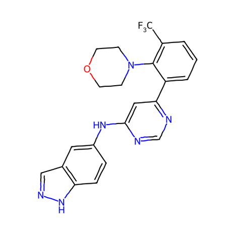 FC(F)(F)c1cccc(-c2cc(Nc3ccc4[nH]ncc4c3)ncn2)c1N1CCOCC1